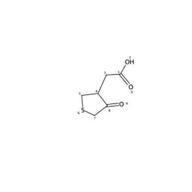 O=C(O)CC1CSCC1=O